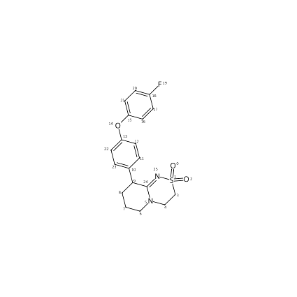 O=S1(=O)CCN2CCCC(c3ccc(Oc4ccc(F)cc4)cc3)C2=N1